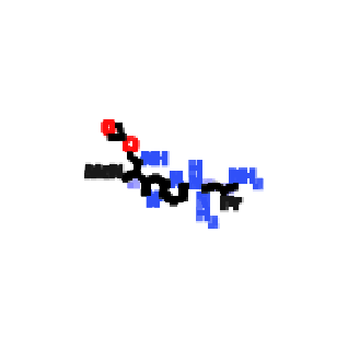 CN/C=C(\C(=N)COC1COC1)c1cnc2ccc(N/C(N)=C/C(=C\N)C(C)C)nc2c1